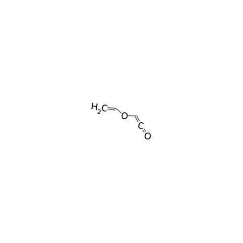 C=COC=C=O